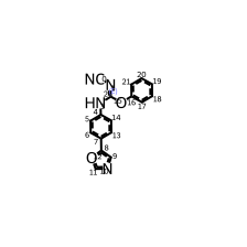 N#C/N=C(\Nc1ccc(-c2cnco2)cc1)Oc1ccccc1